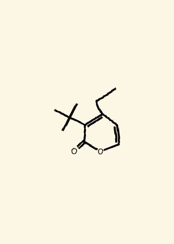 CCc1ccoc(=O)c1C(C)(C)C